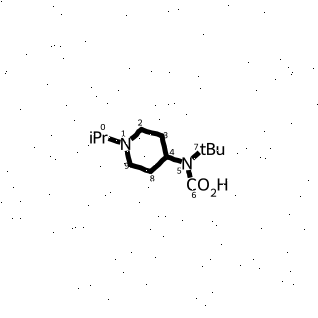 CC(C)N1CCC(N(C(=O)O)C(C)(C)C)CC1